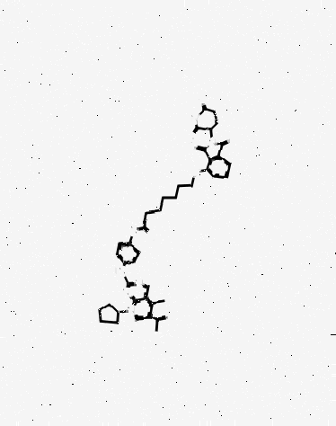 CC(=O)c1c(C)c2cnc(Nc3ccc(NC(=O)CCCCCCOc4cccc5c4C(=O)N(C4CCC(=O)NC4=O)C5=O)cc3)nc2n(C2CCCC2)c1=O